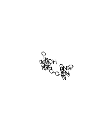 COC(=O)N[C@@H](Cc1ccccc1)C(=O)N1CCC[C@H]1c1ncc(-c2ccc(-c3ccc(-c4cnc([C@@H]5CCCN5C(=O)[C@H](Cc5ccccc5)N(C)C(=O)O)[nH]4)cc3)cc2)[nH]1